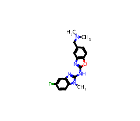 CN(C)Cc1ccc2oc(Nc3nc4cc(F)ccc4n3C)nc2c1